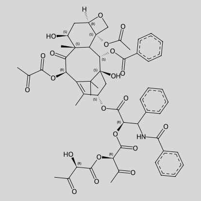 CC(=O)O[C@@]12CO[C@@H]1C[C@H](O)[C@@]1(C)C(=O)[C@H](OC(=O)C(C)=O)C3=C(C)[C@@H](OC(=O)[C@H](OC(=O)[C@H](OC(=O)[C@H](O)C(C)=O)C(C)=O)C(NC(=O)c4ccccc4)c4ccccc4)C[C@@](O)([C@@H](OC(=O)c4ccccc4)C12)C3(C)C